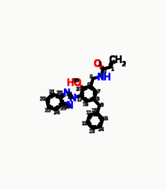 C=CC(=O)NCc1cc(Cc2ccccc2)cc(-n2nc3ccccc3n2)c1O